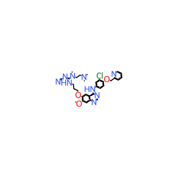 COc1cc2ncnc(Nc3ccc(OCc4ccccn4)c(Cl)c3)c2cc1OCCCN/C(=N\C#N)N(C)CCN(C)C